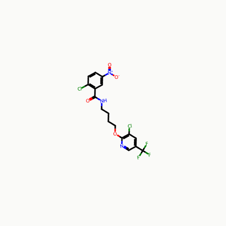 O=C(NCCCCOc1ncc(C(F)(F)F)cc1Cl)c1cc([N+](=O)[O-])ccc1Cl